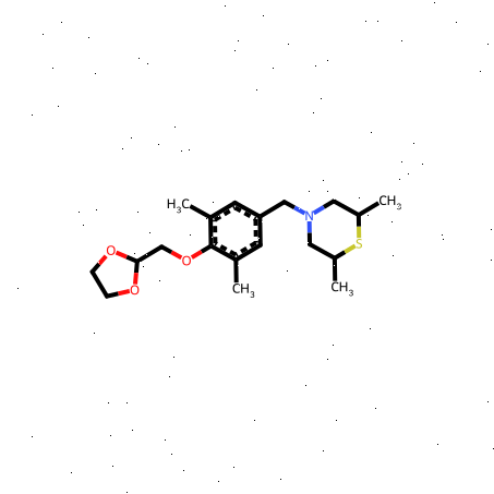 Cc1cc(CN2CC(C)SC(C)C2)cc(C)c1OCC1OCCO1